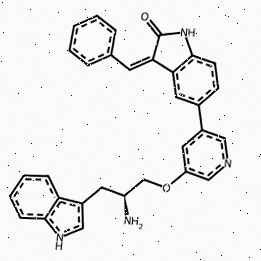 N[C@H](COc1cncc(-c2ccc3c(c2)/C(=C/c2ccccc2)C(=O)N3)c1)Cc1c[nH]c2ccccc12